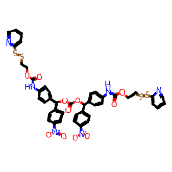 O=C(Nc1ccc(C(OC(=O)OC(c2ccc(NC(=O)OCCSSc3ccccn3)cc2)c2ccc([N+](=O)[O-])cc2)c2ccc([N+](=O)[O-])cc2)cc1)OCCSSc1ccccn1